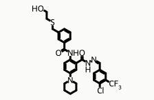 O=C(Nc1ccc(N2CCCCC2)cc1C(=O)N/N=C\c1ccc(Cl)c(C(F)(F)F)c1)c1cccc(CSCCO)c1